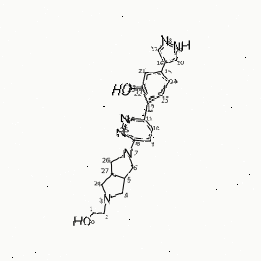 OCCN1CC2CN(c3ccc(-c4ccc(-c5cn[nH]c5)cc4O)nn3)CC2C1